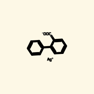 O=C([O-])c1ccccc1-c1ccccc1.[Ag+]